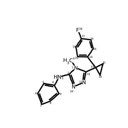 Cn1c(Nc2ccccc2)nnc1C1(c2ccc(F)cc2)CC1